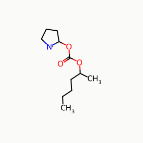 CCCCC(C)OC(=O)OC1CCC[N]1